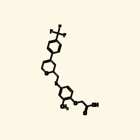 Cc1cc(SCC2CC(c3ccc(C(F)(F)F)cc3)=CCO2)ccc1OCC(=O)O